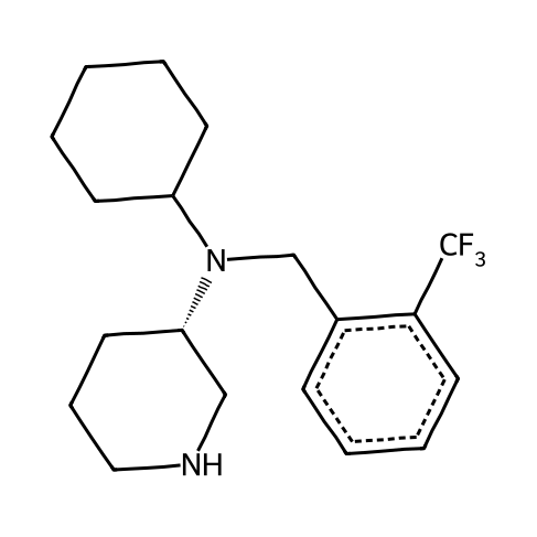 FC(F)(F)c1ccccc1CN(C1CCCCC1)[C@H]1CCCNC1